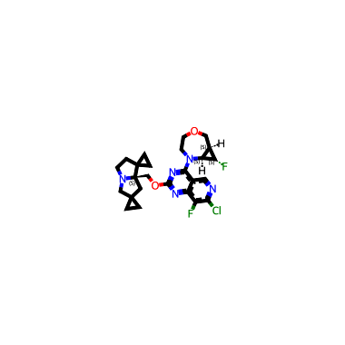 Fc1c(Cl)ncc2c(N3CCOC[C@H]4[C@H](F)[C@H]43)nc(OC[C@@]34CC5(CC5)CN3CCC43CC3)nc12